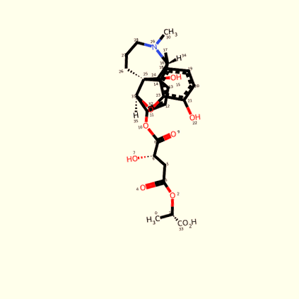 C[C@H](OC(=O)C[C@H](O)C(=O)OC1=CC[C@@]2(O)[C@H]3Cc4ccc(O)c5c4[C@@]2(CCCN3C)[C@H]1O5)C(=O)O